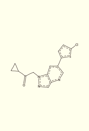 O=C(Cn1ncc2ncc(-c3ccc(Cl)s3)cc21)C1CC1